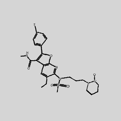 CCc1cc2c(C(=O)NC)c(-c3ccc(F)cc3)oc2nc1N(CCCN1CCCC[S+]1[O-])S(C)(=O)=O